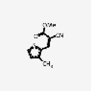 COC(=O)/C(C#N)=C\c1sccc1C